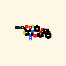 COC(=O)c1scc2[nH]c(=O)n(-c3cc(S(=O)(=O)C(C)(C)c4ccccc4)ccc3F)c(=O)c12